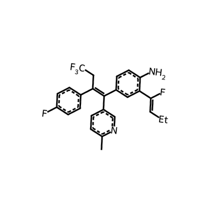 CC/C=C(\F)c1cc(/C(=C(\CC(F)(F)F)c2ccc(F)cc2)c2ccc(C)nc2)ccc1N